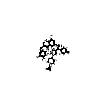 N#Cc1cnc2c(Cl)cc(NC(c3ccc(F)cc3)c3cn(C4CCN(C5CC5)CC4)nn3)cc2c1Nc1ccc(F)c(Cl)c1